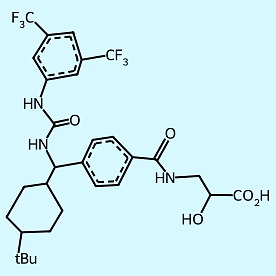 CC(C)(C)C1CCC(C(NC(=O)Nc2cc(C(F)(F)F)cc(C(F)(F)F)c2)c2ccc(C(=O)NCC(O)C(=O)O)cc2)CC1